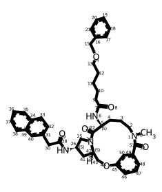 CN1CCC[C@H](NC(=O)CCCCCOCc2ccccc2)C(=O)N2C[C@@H](NC(=O)Cc3ccc4ccccc4c3)C[C@H]2COc2cccc(c2)C1=O